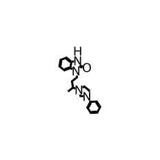 CC(CCn1c(=O)[nH]c2ccccc21)N1CCN(c2ccccc2)C1